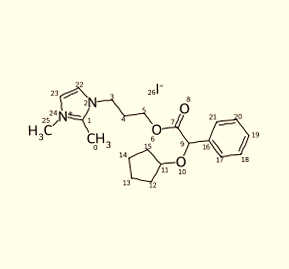 Cc1n(CCCOC(=O)C(OC2CCCC2)c2ccccc2)cc[n+]1C.[I-]